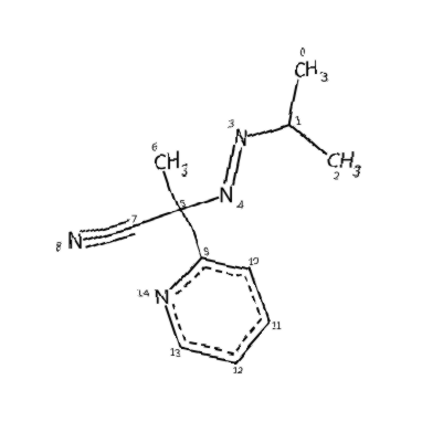 CC(C)N=NC(C)(C#N)c1ccccn1